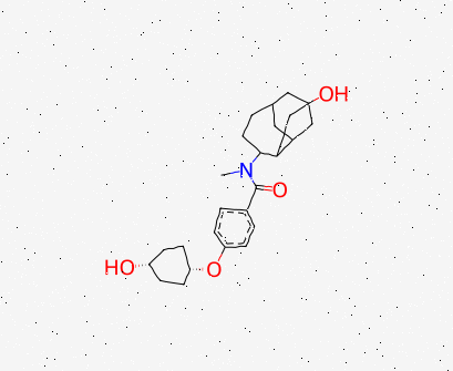 CN(C(=O)c1ccc(O[C@H]2CC[C@@H](O)CC2)cc1)C1CCC2CC3CC(O)(C2)CC31